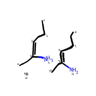 CCC=C(C)N.CCC=C(C)N.[Ni]